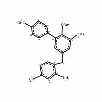 COc1cc(Cc2cnc(N)nc2N)cc(-c2ccc(C=O)cc2)c1OC